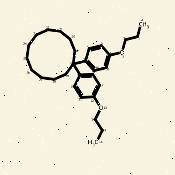 CCCOc1ccc(C2(c3ccc(OCCC)cc3)CCCCCCCCCCC2)cc1